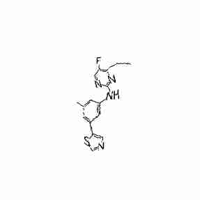 CCc1nc(Nc2cc(C)cc(-c3cncs3)c2)ncc1F